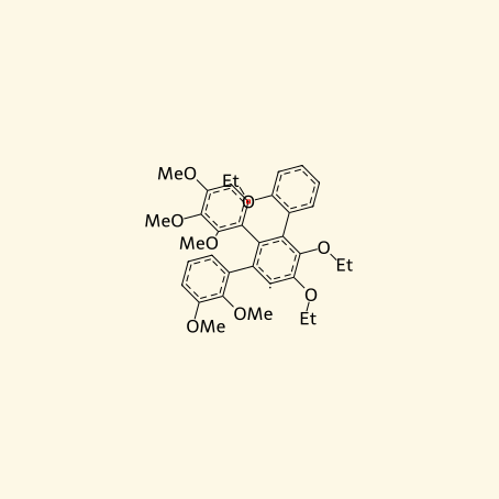 CCOc1[c]c(-c2cccc(OC)c2OC)c(-c2ccc(OC)c(OC)c2OC)c(-c2ccccc2OCC)c1OCC